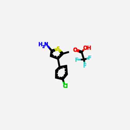 Cc1sc(N)cc1-c1ccc(Cl)cc1.O=C(O)C(F)(F)F